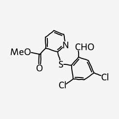 COC(=O)c1cccnc1Sc1c(Cl)cc(Cl)cc1C=O